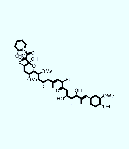 CC[C@H](/C=C(\C)C[C@H](C)C[C@H](OC)[C@H]1O[C@@](O)(C(=O)C(=O)N2CCCC[C@H]2C=O)[C@H](C)C[C@@H]1OC)C(=O)C[C@H](O)[C@@H](C)[C@H](O)/C(C)=C/[C@@H]1CC[C@@H](O)[C@H](OC)C1